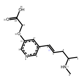 CNC(C)C/C=C/c1cncc(OCC(=O)O)c1